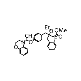 CCOC(CC(=O)OC)(Cc1ccc(OC(C)N2CCOc3ccccc32)cc1)Cc1ccccc1F